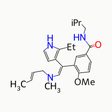 C/C=C/CN(C)/C=C(/c1cc(C(=O)NCC(C)C)ccc1OC)c1cc[nH]c1CC